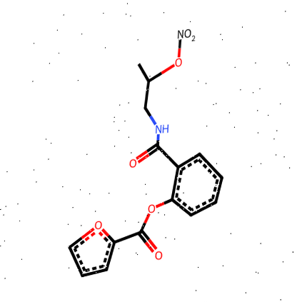 CC(CNC(=O)c1ccccc1OC(=O)c1ccco1)O[N+](=O)[O-]